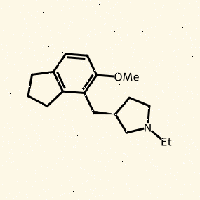 CCN1CC[C@H](Cc2c(OC)ccc3c2CCC3)C1